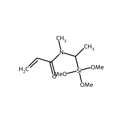 C=CC(=O)N(C)C(C)[Si](OC)(OC)OC